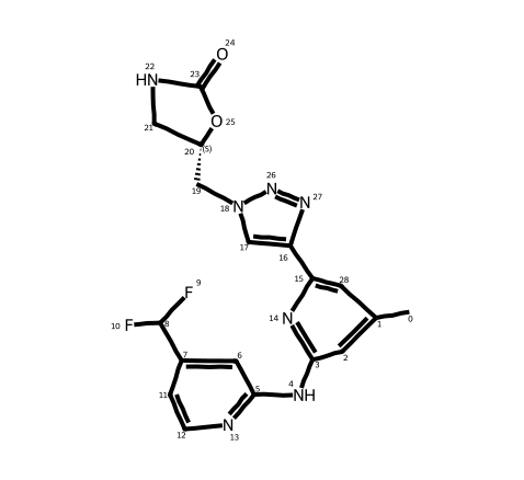 Cc1cc(Nc2cc(C(F)F)ccn2)nc(-c2cn(C[C@@H]3CNC(=O)O3)nn2)c1